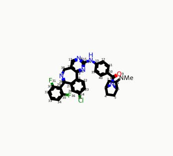 CNC1CC2CCC1N2C(=O)c1ccc(Nc2ncc3c(n2)-c2ccc(Cl)cc2C(c2c(F)cccc2F)=NC3)cc1